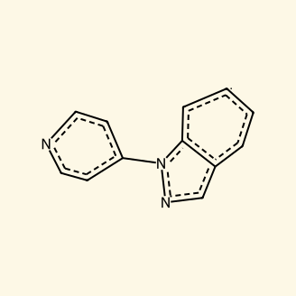 [c]1ccc2cnn(-c3ccncc3)c2c1